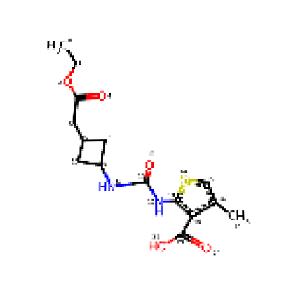 CCOC(=O)CC1CC(NC(=O)Nc2scc(C)c2C(=O)O)C1